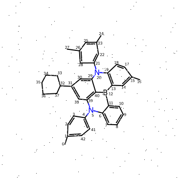 Cc1ccc(N2c3ccccc3B3c4cc(C)ccc4N(c4cc(C)cc(C)c4)c4cc(C5CCCCC5)cc2c43)cc1